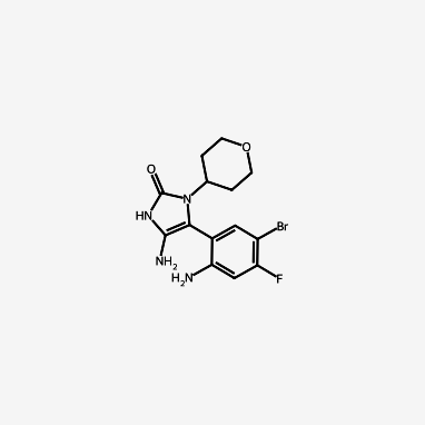 Nc1cc(F)c(Br)cc1-c1c(N)[nH]c(=O)n1C1CCOCC1